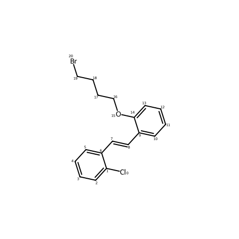 Clc1ccccc1C=Cc1ccccc1OCCCCBr